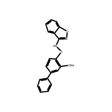 COc1cc(-c2ccccc2)ccc1SNc1noc2ccccc12